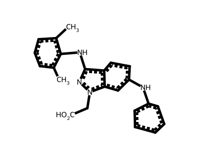 Cc1cccc(C)c1Nc1nn(CC(=O)O)c2cc(Nc3ccccc3)ccc12